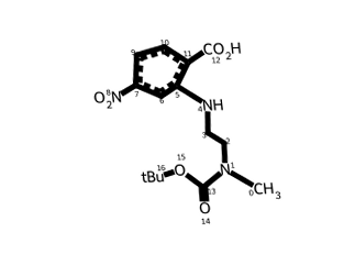 CN(CCNc1cc([N+](=O)[O-])ccc1C(=O)O)C(=O)OC(C)(C)C